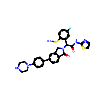 NSc1ccc(F)cc1C(C(=O)Nc1nccs1)N1Cc2cc(-c3ccc(N4CCNCC4)cc3)ccc2C1=O